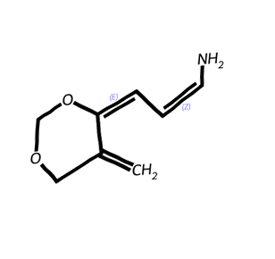 C=C1COCO/C1=C/C=C\N